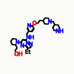 CCc1cnn2c(NCc3ccc(OCCC4CCN(CC5CCNCC5)CC4)nc3)cc(N3CCCCC3CCO)nc12